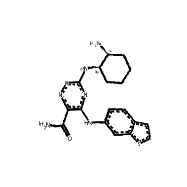 NC(=O)c1nnc(N[C@@H]2CCCC[C@@H]2N)nc1Nc1ccc2ccsc2c1